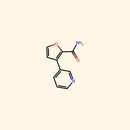 NC(=O)c1occc1-c1cccnc1